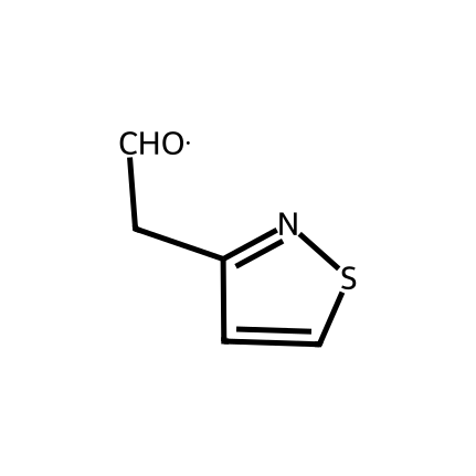 O=[C]Cc1ccsn1